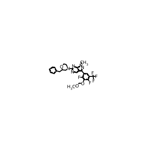 COCOc1c(F)c(-c2nn(C)c3nc(N4CCOC(Cc5ccccc5)C4)ncc23)cc(C(F)(F)F)c1F